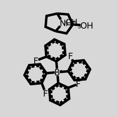 C[NH+]1C2CCC1CC(O)C2.Fc1ccccc1[B-](c1ccccc1F)(c1ccccc1F)c1ccccc1F